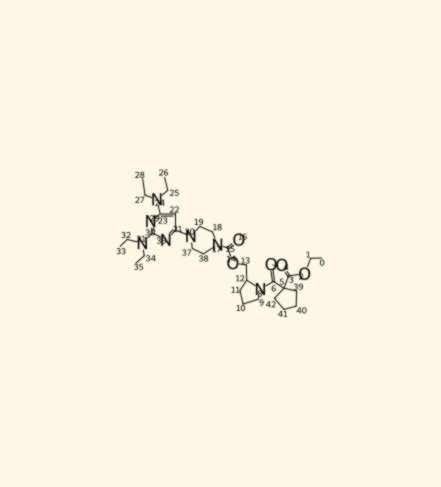 CCOC(=O)C1(C(=O)N2CCCC2COC(=O)N2CCN(c3cc(N(CC)CC)nc(N(CC)CC)n3)CC2)CCCC1